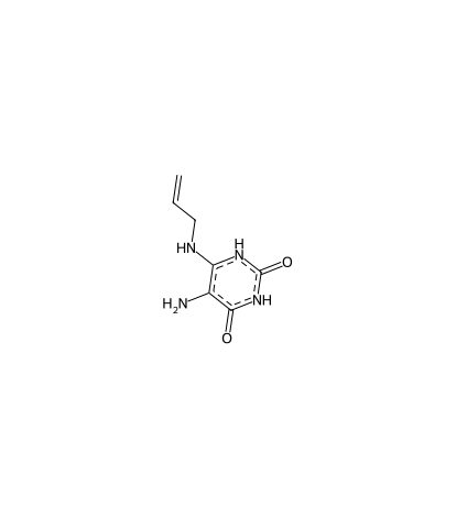 C=CCNc1[nH]c(=O)[nH]c(=O)c1N